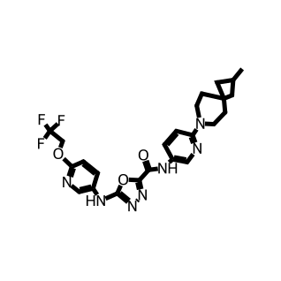 CC1CC2(CCN(c3ccc(NC(=O)c4nnc(Nc5ccc(OCC(F)(F)F)nc5)o4)cn3)CC2)C1